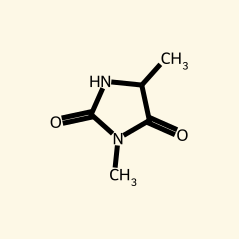 CC1NC(=O)N(C)C1=O